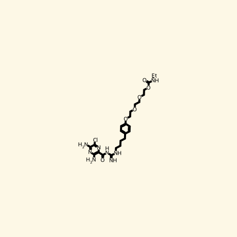 CCNC(=O)OCCOCCOCCOc1ccc(CCCCNC(=N)NC(=O)c2nc(Cl)c(N)nc2N)cc1